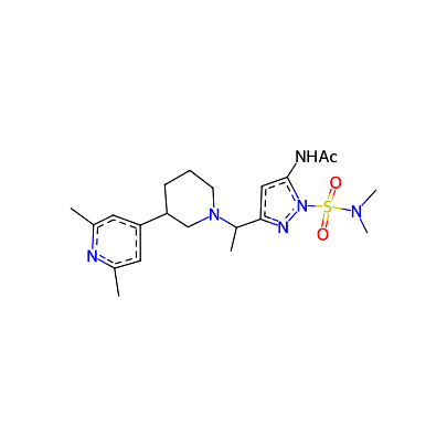 CC(=O)Nc1cc(C(C)N2CCCC(c3cc(C)nc(C)c3)C2)nn1S(=O)(=O)N(C)C